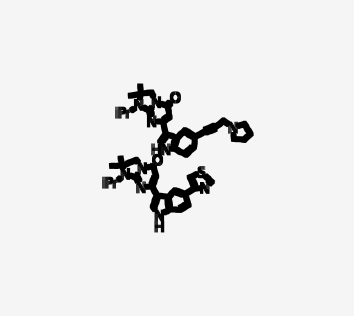 CC(C)N1c2nc(-c3c[nH]c4ccc(-c5cscn5)cc34)cc(=O)n2CC1(C)C.CC(C)N1c2nc(-c3c[nH]c4ccc(C#CCN5CCCC5)cc34)cc(=O)n2CC1(C)C